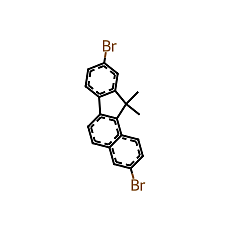 CC1(C)c2cc(Br)ccc2-c2ccc3cc(Br)ccc3c21